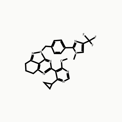 COc1ncnc(C2CC2)c1-c1nc2c3c(nn(Cc4ccc(-c5nc(C(F)(F)F)cn5C)cc4)c3n1)CCC2